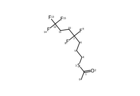 CC(=O)SCCCC(F)(F)CCC(F)(F)F